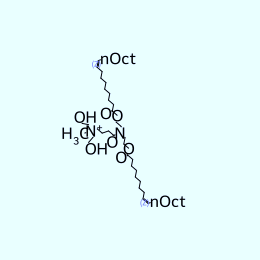 CCCCCCCC/C=C\CCCCCCCC(=O)OCCN(CCOC(=O)CCCCCCC/C=C\CCCCCCCC)C(=O)CCC[N+](C)(CCO)CCO